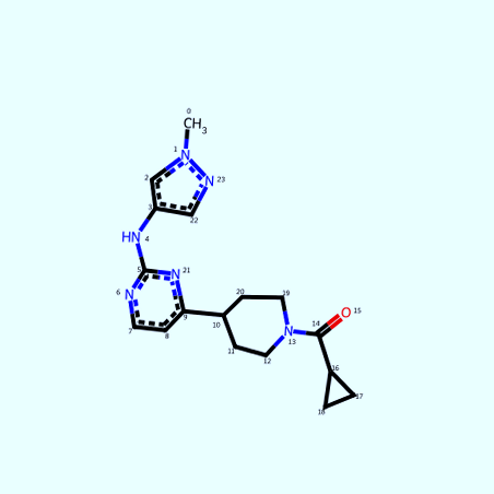 Cn1cc(Nc2nccc(C3CCN(C(=O)C4CC4)CC3)n2)cn1